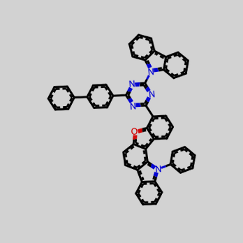 c1ccc(-c2ccc(-c3nc(-c4cccc5c4oc4ccc6c7ccccc7n(-c7ccccc7)c6c45)nc(-n4c5ccccc5c5ccccc54)n3)cc2)cc1